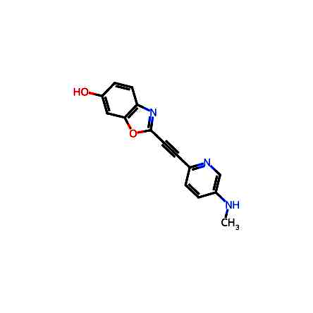 CNc1ccc(C#Cc2nc3ccc(O)cc3o2)nc1